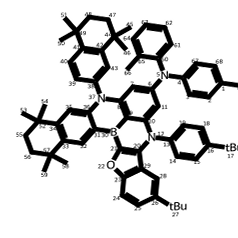 Cc1ccc(N(c2cc3c4c(c2)N(c2ccc(C(C)(C)C)cc2)c2c(oc5ccc(C(C)(C)C)cc25)B4c2cc4c(cc2N3c2ccc3c(c2)C(C)(C)CCC3(C)C)C(C)(C)CCC4(C)C)c2ccccc2C)cc1